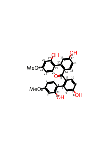 COc1ccc(-c2cc(O)ccc2C(=O)c2ccc(O)cc2-c2ccc(OC)cc2O)c(O)c1